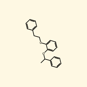 CC(Oc1c[c]ccc1OCCc1ccccc1)c1ccccc1